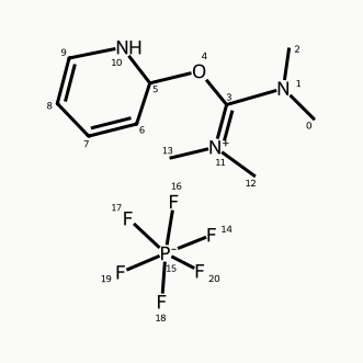 CN(C)C(OC1C=CC=CN1)=[N+](C)C.F[P-](F)(F)(F)(F)F